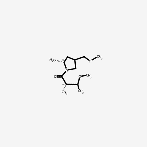 COCC1C[C@@H](C)N(C(=O)[C@@H](C)C(C)OC)C1